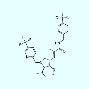 C=NC1=C(/C=C(\C)C(=O)NCc2ccc(S(C)(=O)=O)cc2)CN(Cc2ccc(C(F)(F)F)cn2)[C@@H]1C(C)C